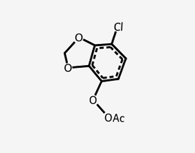 CC(=O)OOc1ccc(Cl)c2c1OCO2